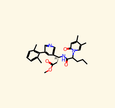 CCCC(C(=O)N[C@H](CC(=O)OC)c1cncc(-c2c(C)cccc2C)c1)n1cc(C)c(C)cc1=O